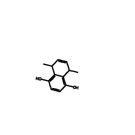 CC1C=CC(C)c2c(O)ccc(O)c21